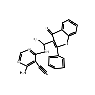 CC(Nc1ncnc(N)c1C#N)c1c(-c2ccccc2)oc2ccccc2c1=O